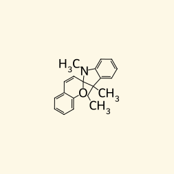 CCC1(C)c2ccccc2N(C)C12C=Cc1ccccc1O2